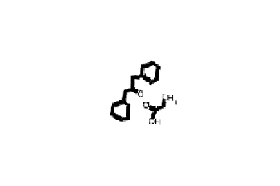 CCC(=O)O.O=C(Cc1ccccc1)Cc1ccccc1